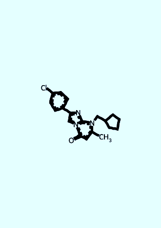 Cc1cc(=O)n2cc(-c3ccc(Cl)cc3)nc2n1CC1CCCC1